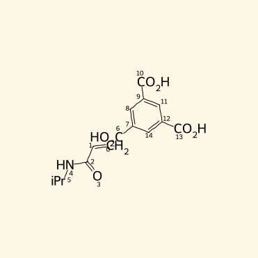 C=CC(=O)NC(C)C.O=C(O)c1cc(C(=O)O)cc(C(=O)O)c1